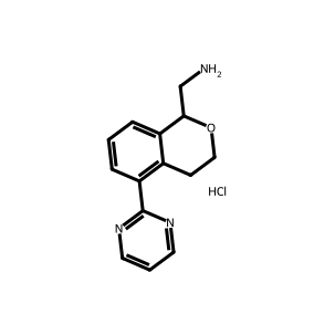 Cl.NCC1OCCc2c(-c3ncccn3)cccc21